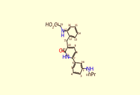 CCCNc1cccc(-c2ccc(Cc3ccccc3NCC(=O)O)c(=O)[nH]2)c1